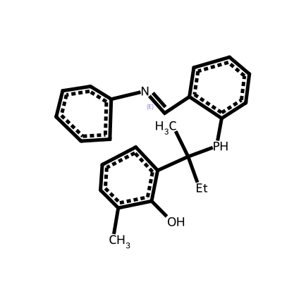 CCC(C)(Pc1ccccc1/C=N/c1ccccc1)c1cccc(C)c1O